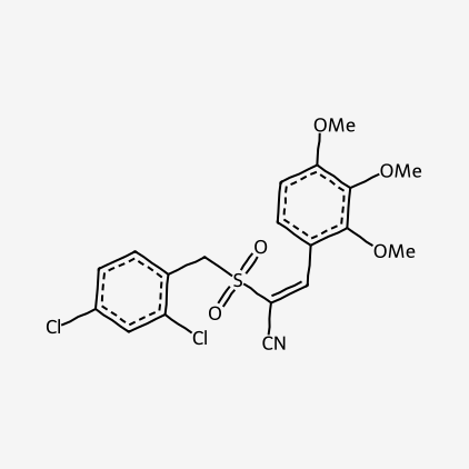 COc1ccc(C=C(C#N)S(=O)(=O)Cc2ccc(Cl)cc2Cl)c(OC)c1OC